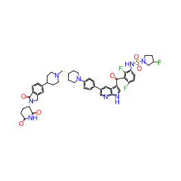 C[C@@H]1C[C@H](CN2CCC(c3ccc4c(c3)CN([C@H]3CCC(=O)NC3=O)C4=O)CC2)CCN1c1ccc(-c2cnc3[nH]cc(C(=O)c4c(F)ccc(NS(=O)(=O)N5CC[C@@H](F)C5)c4F)c3c2)cc1